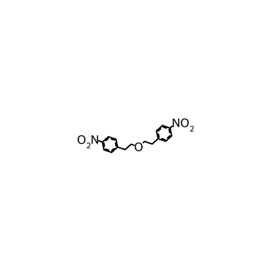 O=[N+]([O-])c1ccc(CCOCCc2ccc([N+](=O)[O-])cc2)cc1